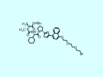 C[C@@H](C(=O)N[C@H](C(=O)N1CCC[C@H]1c1nc(-c2ccc(OCCOCCOCCBr)c3ccccc23)cs1)C1CCCCC1)N(C)C(=O)OC(C)(C)C